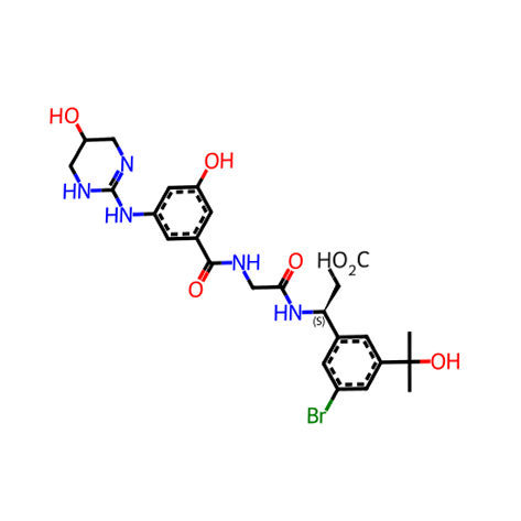 CC(C)(O)c1cc(Br)cc([C@H](CC(=O)O)NC(=O)CNC(=O)c2cc(O)cc(NC3=NCC(O)CN3)c2)c1